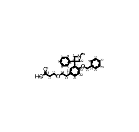 CN1CC(c2ccccc2)(c2cc(CCOCCC(=O)O)ccc2OCc2ccccc2)C1